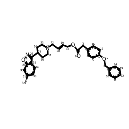 O=C(Cc1ccc(OCc2ccccc2)cc1)OCC=CCN1CCC(c2noc3cc(F)ccc23)CC1